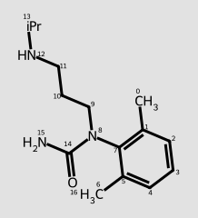 Cc1cccc(C)c1N(CCCNC(C)C)C(N)=O